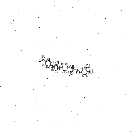 O=C(COc1ccc(Cl)c(Cl)c1)N[C@H]1CC[C@H](N2CCN(c3cnc(C(F)F)cn3)C2=O)CC1